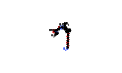 C=C(C)CC(NC(=C)CNC(=O)CCCCN(C(=O)OC(C)(C)C)c1cc(C)ccn1)c1ccc(-c2ccc(OCCOCCOCCOCCOCCN)c3ccccc23)cc1